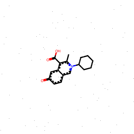 Cc1c(C(=O)O)c2cc(=O)ccc-2cn1C1CCCCC1